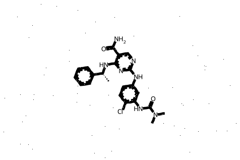 C[C@@H](Nc1nc(Nc2ccc(Cl)c(NC(=O)N(C)C)c2)ncc1C(N)=O)c1ccccc1